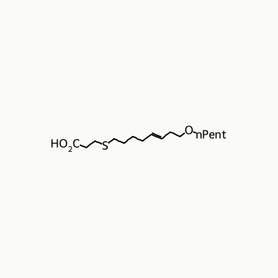 CCCCCOCC/C=C/CCCCSCCC(=O)O